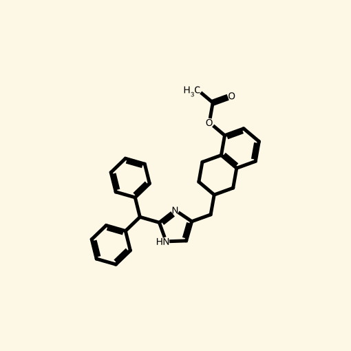 CC(=O)Oc1cccc2c1CCC(Cc1c[nH]c(C(c3ccccc3)c3ccccc3)n1)C2